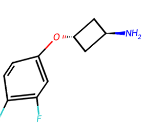 N[C@H]1C[C@H](Oc2ccc(F)c(F)c2)C1